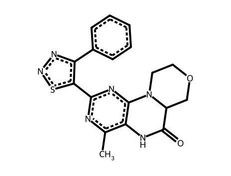 Cc1nc(-c2snnc2-c2ccccc2)nc2c1NC(=O)C1COCCN21